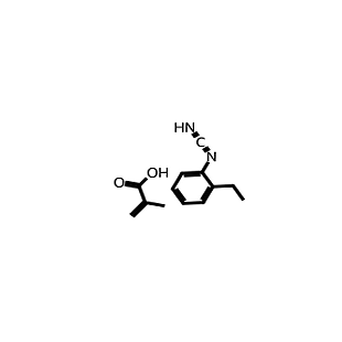 C=C(C)C(=O)O.CCc1ccccc1N=C=N